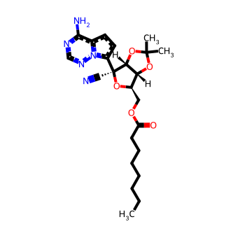 CCCCCCCC(=O)OC[C@H]1O[C@@](C#N)(c2ccc3c(N)ncnn23)[C@@H]2OC(C)(C)O[C@@H]21